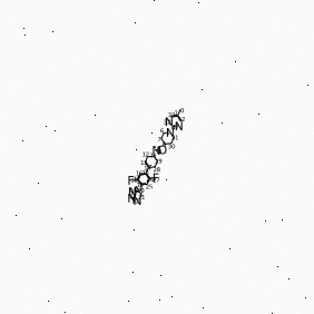 Cc1cnc(N2CCC(ON=C3CC=C(c4cc(F)c(-n5cnnn5)cc4F)CC3)CC2)nc1